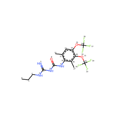 CCCNC(=N)NC(=O)Nc1c(C)cc(OC(F)(F)F)c(OC(F)(F)F)c1C